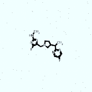 CNc1nc(F)c(CN2CCC(C(C)c3ncc(F)cn3)C2)s1